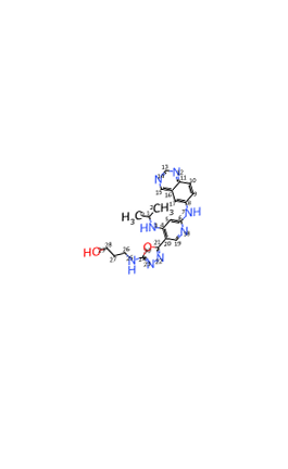 CC(C)Nc1cc(Nc2ccc3ncncc3c2)ncc1-c1nnc(NCCCO)o1